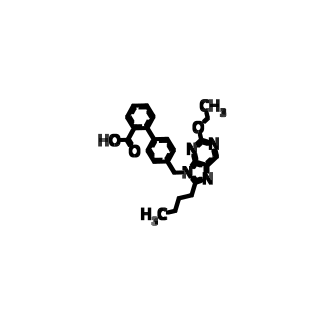 CCCCc1nc2cnc(OCC)nc2n1Cc1ccc(-c2ccccc2C(=O)O)cc1